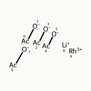 CC(=O)[O-].CC(=O)[O-].CC(=O)[O-].CC(=O)[O-].[Li+].[Rh+3]